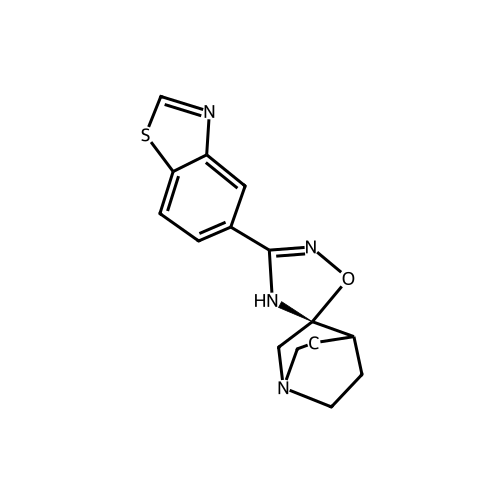 c1nc2cc(C3=NO[C@]4(CN5CCC4CC5)N3)ccc2s1